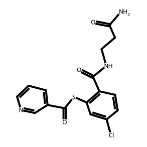 NC(=O)CCNC(=O)c1ccc(Cl)cc1SC(=O)c1cccnc1